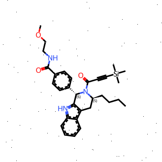 CCCC[C@H]1Cc2c([nH]c3ccccc23)[C@H](c2ccc(C(=O)NCCOC)cc2)N1C(=O)C#C[Si](C)(C)C